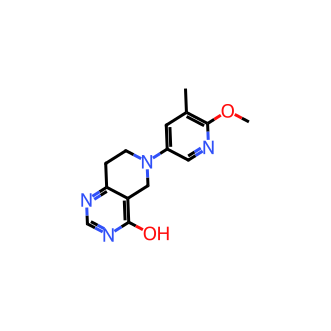 COc1ncc(N2CCc3ncnc(O)c3C2)cc1C